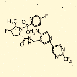 C[C@H]1[C@H](F)C[C@@H](C(=O)NCc2cc(-c3cnc(C(F)(F)F)nc3)ncc2N)N1S(=O)(=O)c1ccc(F)cn1